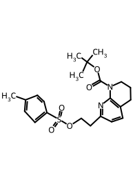 Cc1ccc(S(=O)(=O)OCCc2ccc3c(n2)N(C(=O)OC(C)(C)C)CCC3)cc1